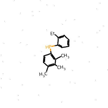 CCc1ccccc1Pc1ccc(C)c(C)c1C